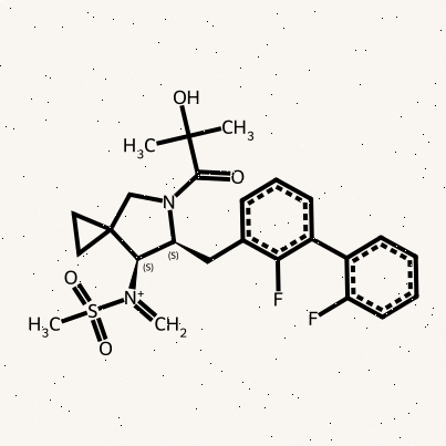 C=[N+]([C@@H]1[C@H](Cc2cccc(-c3ccccc3F)c2F)N(C(=O)C(C)(C)O)CC12CC2)S(C)(=O)=O